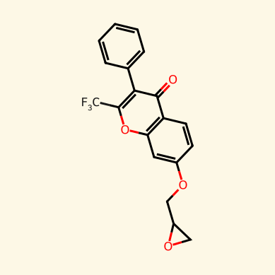 O=c1c(-c2ccccc2)c(C(F)(F)F)oc2cc(OCC3CO3)ccc12